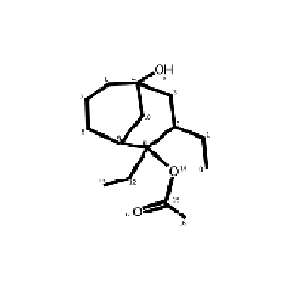 CCC1CC2(O)CCCC(C2)C1(CC)OC(C)=O